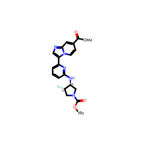 COC(=O)c1ccn2c(-c3cccc(N[C@H]4CN(C(=O)OC(C)(C)C)C[C@@H]4F)n3)cnc2c1